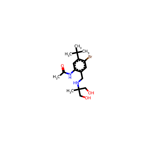 CC(=O)Nc1cc(C(C)(C)C)c(Br)cc1CNC(C)(CO)CO